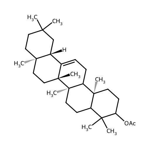 CC(=O)OC1CC[C@@]2(C)C(CC[C@]3(C)C2CC=C2[C@H]4CC(C)(C)CC[C@]4(C)CC[C@]23C)C1(C)C